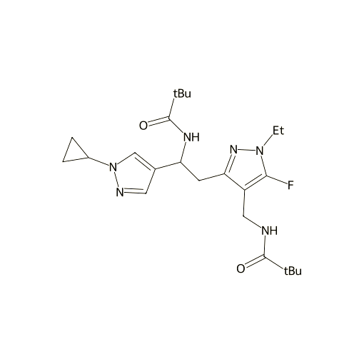 CCn1nc(CC(NC(=O)C(C)(C)C)c2cnn(C3CC3)c2)c(CNC(=O)C(C)(C)C)c1F